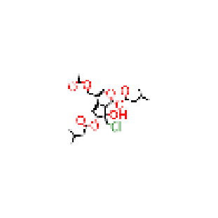 CC(=O)OCC1=COC(OC(=O)CC(C)C)C2C1=CC(OC(=O)CC(C)C)C2(O)CCl